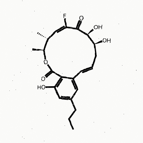 CCCc1cc(O)c2c(c1)/C=C/C[C@H](O)[C@H](O)C(=O)/C(F)=C\[C@@H](C)[C@H](C)OC2=O